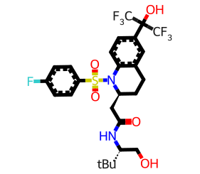 CC(C)(C)[C@@H](CO)NC(=O)C[C@@H]1CCc2cc(C(O)(C(F)(F)F)C(F)(F)F)ccc2N1S(=O)(=O)c1ccc(F)cc1